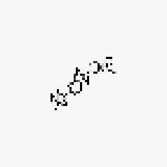 C=CC(=O)N1CCC(c2ncc3cc(-c4sc(C)nc4C)ccc3n2)C1